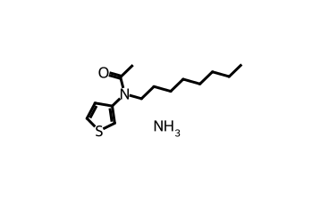 CCCCCCCCN(C(C)=O)c1ccsc1.N